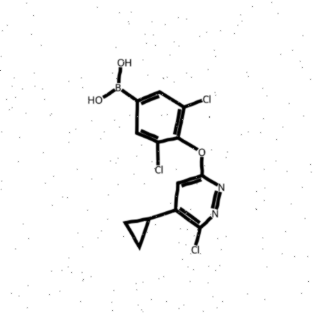 OB(O)c1cc(Cl)c(Oc2cc(C3CC3)c(Cl)nn2)c(Cl)c1